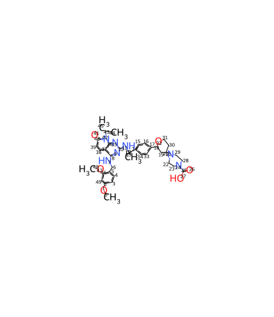 COc1ccc(CNc2nc(N[C@@H](C)c3ccc(C4CC(N5CCN(C(=O)O)CC5)CCO4)cc3)nc3c2ccc(=O)n3C(C)C)c(OC)c1